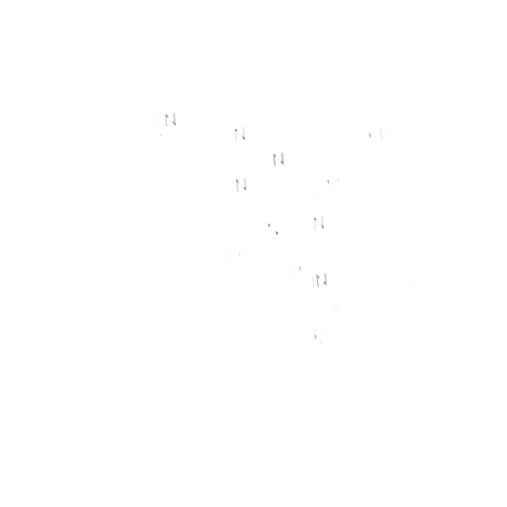 CC#CCn1c(N2CCCC(N)C2)nc2c1c(=O)n(/C=C1\NC(=O)c3ccccc31)c(=O)n2C